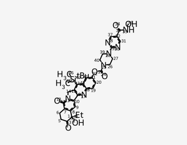 CC[C@@]1(O)C(=O)CCc2c1cc1n(c2=O)Cc2c-1nc1ccc(OC(=O)N3CCN(c4ncc(C(=O)NO)cn4)CC3)cc1c2[Si](C)(C)C(C)(C)C